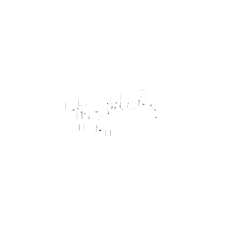 CCC(CC)NC(=O)Nc1ccc(Oc2cnc(NC(=O)c3ccc(-n4cc(CN5CCC(O)CC5)c5ccccc54)cc3)s2)c(CN(C)C)c1